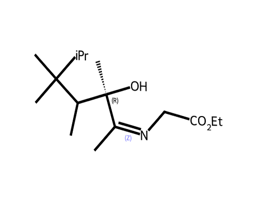 CCOC(=O)C/N=C(/C)[C@](C)(O)C(C)C(C)(C)C(C)C